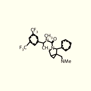 CNCC12CC1CN(C(=O)N(C)C(C)c1cc(C(F)(F)F)cc(C(F)(F)F)c1)C2c1ccccc1